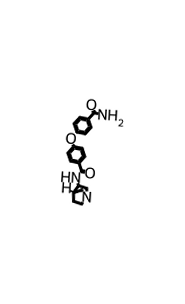 NC(=O)c1ccc(Oc2ccc(C(=O)NC3CN4CC[C@H]3C4)cc2)cc1